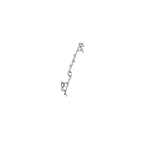 C=C(C)COCCOCCOCCOCCN1CCN(CCCN(CCCN)Cc2c[nH]cn2)CC1